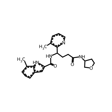 Cc1cccnc1C(CCC(=O)NC1CCOC1)NC(=O)c1cc2cccc(C)c2[nH]1